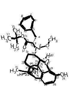 CON([C@@H](Cc1ccccc1)C(=O)OC(C)(C)C)[C@H]1CC[C@H]2[C@H]3Cc4ccc(O)c5c4[C@@]2(CCN3C)[C@@H]1O5